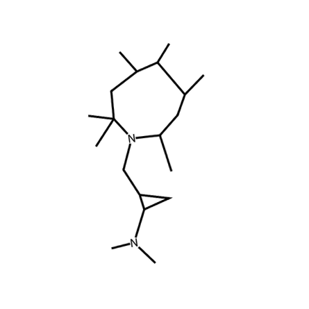 CC1CC(C)N(CC2CC2N(C)C)C(C)(C)CC(C)C1C